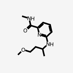 CNC(=O)c1cccc(NC(C)CCOC)n1